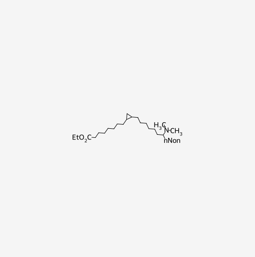 CCCCCCCCCC(CCCCCCC1CC1CCCCCCCC(=O)OCC)N(C)C